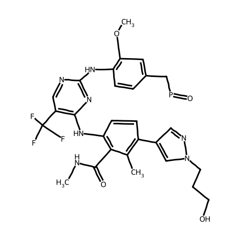 CNC(=O)c1c(Nc2nc(Nc3ccc(CP=O)cc3OC)ncc2C(F)(F)F)ccc(-c2cnn(CCCO)c2)c1C